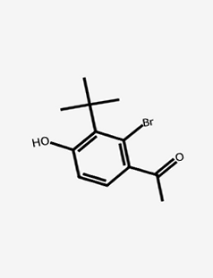 CC(=O)c1ccc(O)c(C(C)(C)C)c1Br